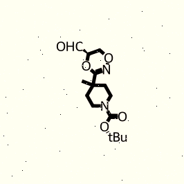 CC(C)(C)OC(=O)N1CCC(C)(C2=NOC[C@H](C=O)O2)CC1